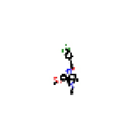 C=CCN1CC[C@@]2(c3cccc(OC(C)=O)c3)C[C@@H](NC(=O)C#Cc3ccc(C(F)(F)F)cc3)CC[C@@H]2C1